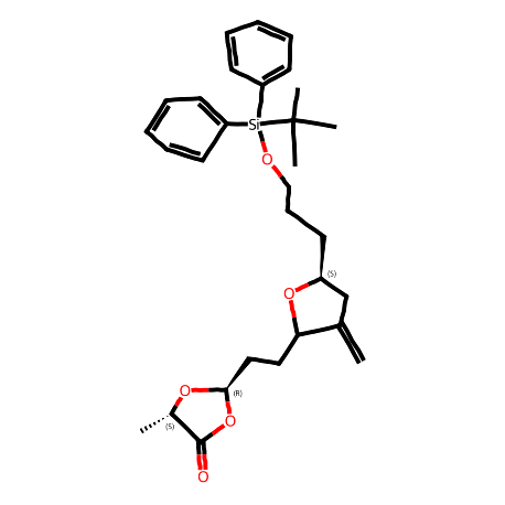 C=C1C[C@H](CCCO[Si](c2ccccc2)(c2ccccc2)C(C)(C)C)OC1CC[C@H]1OC(=O)[C@H](C)O1